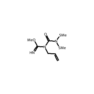 C=CCN(C(=N)OC)C(=O)N(SC)SC